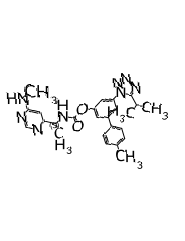 CNc1cc([C@H](C)NC(=O)Oc2cc(-c3ccc(C)cc3)cc(-n3nnnc3C(C)C)c2)ncn1